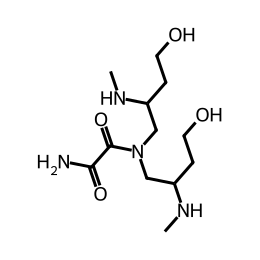 CNC(CCO)CN(CC(CCO)NC)C(=O)C(N)=O